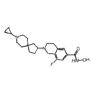 O=C(NO)c1cc(F)c2c(c1)CCN(C1CCC3(CCN(C4CC4)CC3)C1)C2